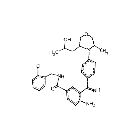 CC(O)CC1COCC(C)N1c1ccc(C(=N)c2cc(C(=O)NCc3ccccc3Cl)ccc2N)cc1